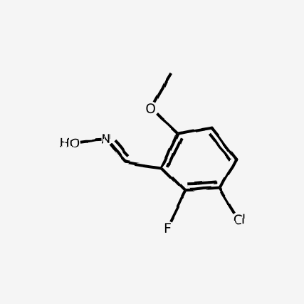 COc1ccc(Cl)c(F)c1/C=N/O